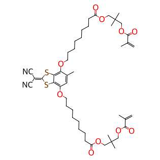 C=C(C)C(=O)OCC(C)(C)COC(=O)CCCCCCCCOc1cc(C)c(OCCCCCCCCC(=O)OCC(C)(C)COC(=O)C(=C)C)c2c1SC(=C(C#N)C#N)S2